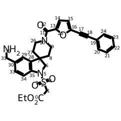 CCOC(=O)CS(=O)(=O)N1CC2(CCN(C(=O)c3ccc(C#Cc4ccccc4)o3)CC2)c2cc(CN)ccc21